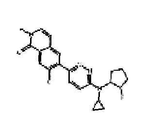 Cn1ccc2cc(-c3ccc(N(C4CC4)C4CCCC4F)nn3)c(O)cc2c1=O